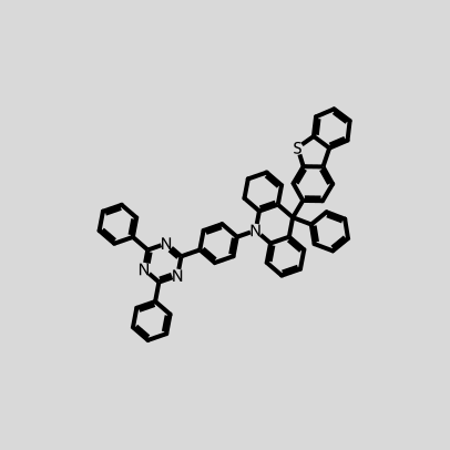 C1=CC2=C(CC1)N(c1ccc(-c3nc(-c4ccccc4)nc(-c4ccccc4)n3)cc1)c1ccccc1C2(c1ccccc1)c1ccc2c(c1)sc1ccccc12